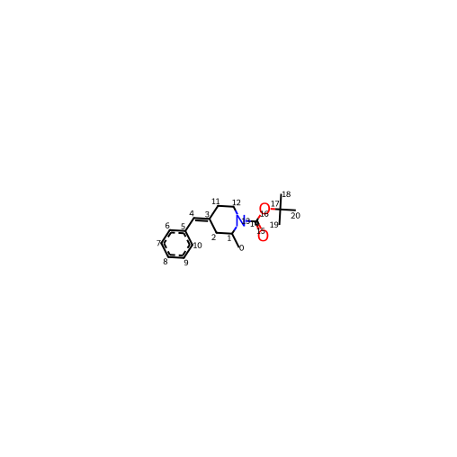 CC1C/C(=C\c2ccccc2)CCN1C(=O)OC(C)(C)C